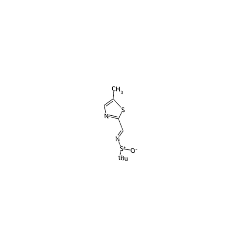 Cc1cnc(C=N[S+]([O-])C(C)(C)C)s1